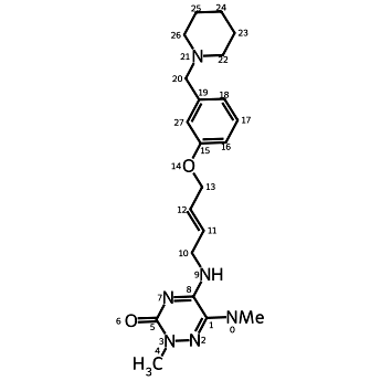 CNc1nn(C)c(=O)nc1NCC=CCOc1cccc(CN2CCCCC2)c1